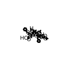 CC(C)CC(NC(=O)C(Cc1ccccc1)N(C)C(=O)C(C)N(C)C(=O)OC(C)(C)C)C(=O)N(C)C(CC(C)C)C(=O)N[C@H](C(=O)N(C)CC(=O)O)C(C)OCc1ccccc1